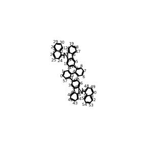 c1ccc(-c2ccccc2-c2ccc3c(c2)c2ccccc2n3-c2cccc3ccccc23)c(-c2ccc3c(c2)c2ccccc2n3-c2cccc3ccccc23)c1